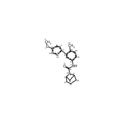 COc1ccc(-c2cc(NC(=O)N3C4CCCC3C4)ccc2C)nn1